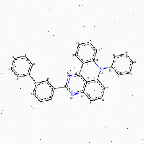 c1ccc(-c2cccc(-c3nc4c5c(cccc5n3)N(c3ccccc3)c3ccccc3-4)c2)cc1